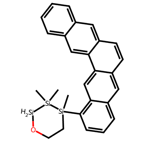 C[Si]1(C)[SiH2]OCC[Si]1(C)c1cccc2cc3ccc4cc5ccccc5cc4c3cc12